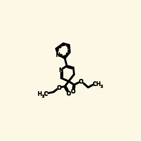 CCOC(=O)C1(C(=O)OCC)C=NC(c2ccccn2)=CC1